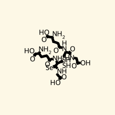 NC(CCC(=O)NC(CS)C(=O)NCC(=O)O)C(=O)O.NC(CCC(=O)NC(CS)C(=[Se])NCC(=O)O)C(=O)O